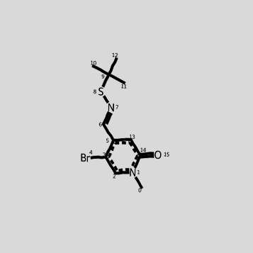 Cn1cc(Br)c(C=NSC(C)(C)C)cc1=O